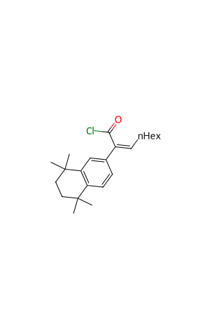 CCCCCCC=C(C(=O)Cl)c1ccc2c(c1)C(C)(C)CCC2(C)C